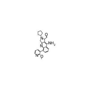 COc1ncccc1-c1cccc2c(N)c3c(nc12)CN(C1CCCC1)C3C=O